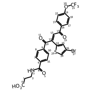 O=C(O)CCNC(=O)c1ccc(C(=O)C(=CC(=O)c2ccc(OC(F)(F)F)cc2)c2cc(Br)cs2)cc1